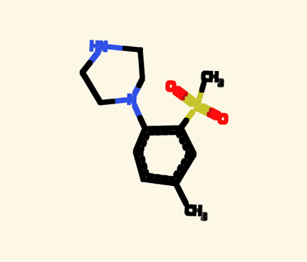 Cc1ccc(N2CCNCC2)c(S(C)(=O)=O)c1